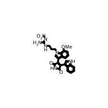 COc1cccc2c(C3=C(c4c[nH]c5ccccc45)C(=O)NC3=O)cn(CCCNC(N)=N[N+](=O)[O-])c12